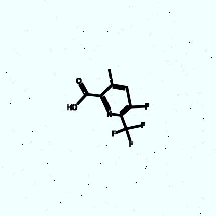 Cc1cc(F)c(C(F)(F)F)nc1C(=O)O